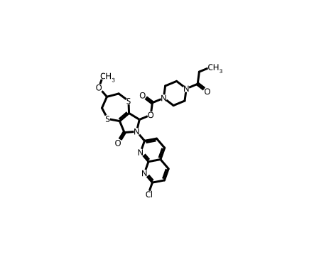 CCC(=O)N1CCN(C(=O)OC2C3=C(SCC(OC)CS3)C(=O)N2c2ccc3ccc(Cl)nc3n2)CC1